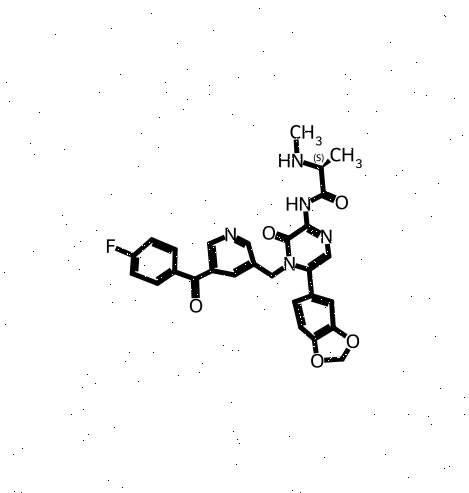 CN[C@@H](C)C(=O)Nc1ncc(-c2ccc3c(c2)OCO3)n(Cc2cncc(C(=O)c3ccc(F)cc3)c2)c1=O